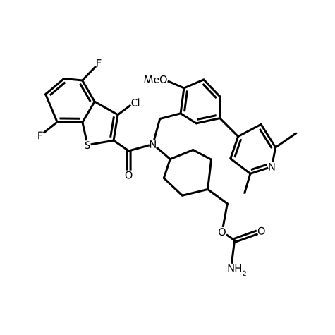 COc1ccc(-c2cc(C)nc(C)c2)cc1CN(C(=O)c1sc2c(F)ccc(F)c2c1Cl)C1CCC(COC(N)=O)CC1